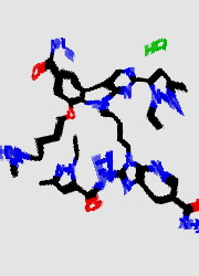 CCn1nc(C)cc1C(=O)Nc1nc2cc(C(N)=O)cnc2n1C/C=C/Cn1c2nc(-c3cc(C)nn3CC)ncc2c2cc(C(N)=O)cc(OCCCCNC)c21.Cl